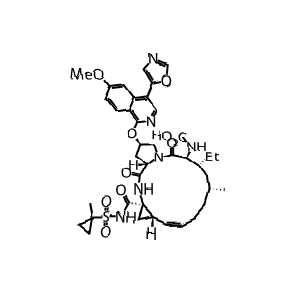 CC[C@@H]1C[C@H](C)CCC=C[C@@H]2C[C@@]2(C(=O)NS(=O)(=O)C2(C)CC2)NC(=O)[C@@H]2C[C@@H](Oc3ncc(-c4cnco4)c4cc(OC)ccc34)CN2C(=O)[C@H]1NC(=O)O